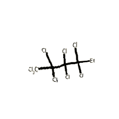 CCC(Cl)(Cl)C(Cl)(Cl)C(Cl)(Cl)C(Cl)(Cl)Cl